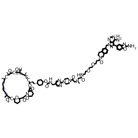 CO[C@H]1CC2CCCC(O2)C(=O)C(=O)N2CCCC[C@H]2C(=O)O[C@H](CC[C@H]2CC[C@H](OC(=O)NCc3cnc(N4CCN(C(=O)CN(C)CC(=O)NCCOCCOCCC(=O)N5CCc6cc(Cn7nc(-c8ccc9oc(N)nc9c8)c8c(N)ncnc87)ccc6C5)CC4)nc3)CC2)CC[C@H](C)/C=C(\C)[C@@H](O)CC(=O)[C@H](C)C[C@H](C)/C=C/C=C/C=C/1C